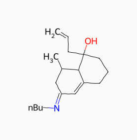 C=CCC1(O)CCCC2=CC(=NCCCC)CC(C)C21